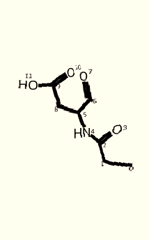 CCC(=O)NC(C=O)CC(=O)O